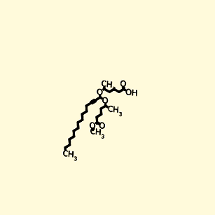 CCCCCCCCCCCCC#CC(OC(C)CCCC(=O)O)OC(C)CCCC(=O)OC